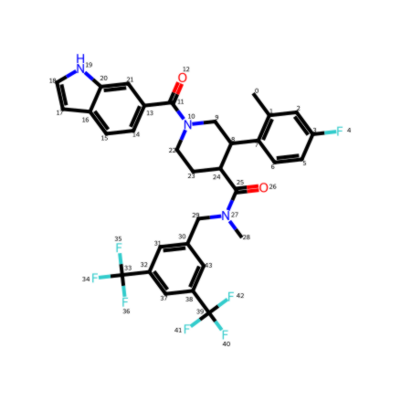 Cc1cc(F)ccc1C1CN(C(=O)c2ccc3cc[nH]c3c2)CCC1C(=O)N(C)Cc1cc(C(F)(F)F)cc(C(F)(F)F)c1